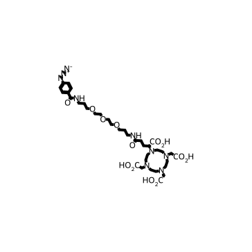 [N-]=[N+]=Nc1ccc(C(=O)NCCCOCCOCCOCCCNC(=O)CCC(C(=O)O)N2CCN(CC(=O)O)CCN(CC(=O)O)CCN(CC(=O)O)CC2)cc1